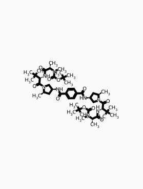 C[C@@H]1C[C@H](NC(=O)c2ccc(C(=O)N[C@H]3C[C@@H](C)N(C(=O)[C@@H](NC(=O)[C@H](C)N(C)C(=O)OC(C)(C)C)C(C)(C)C)C3)cc2)CN1C(=O)[C@@H](NC(=O)[C@H](C)N(C)C(=O)OC(C)(C)C)C(C)(C)C